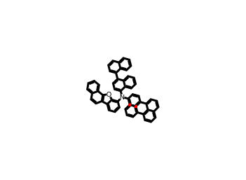 c1ccc(-c2cccc3cccc(-c4ccc(N(c5ccc(-c6cccc7ccccc67)c6ccccc56)c5cccc6c5oc5c7ccccc7ccc65)cc4)c23)cc1